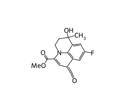 COC(=O)C1=CC(=C=O)c2cc(F)cc3c2N1CCC3(C)O